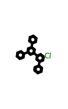 Clc1cc(-c2c#cccc2)cc(-c2cc(-c3ccccc3)cc(-c3ccccc3)c2)c1